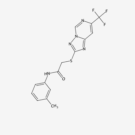 Cc1cccc(NC(=O)CSc2nc3cc(C(F)(F)F)ncn3n2)c1